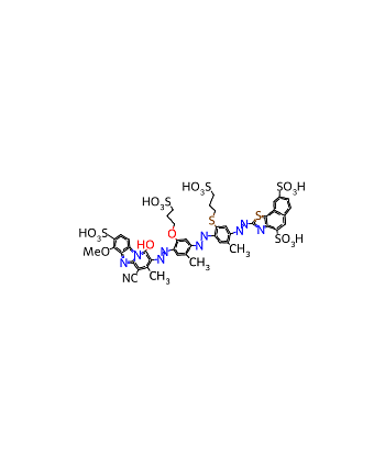 COc1c(S(=O)(=O)O)ccc2c1nc1c(C#N)c(C)c(N=Nc3cc(C)c(N=Nc4cc(C)c(N=Nc5nc6c(S(=O)(=O)O)cc7ccc(S(=O)(=O)O)cc7c6s5)cc4SCCCS(=O)(=O)O)cc3OCCCS(=O)(=O)O)c(O)n12